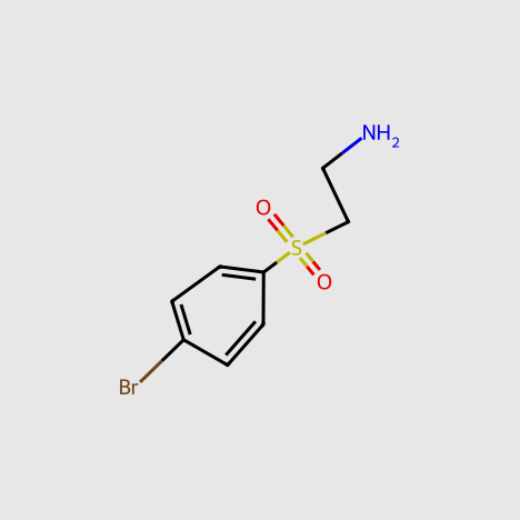 NCCS(=O)(=O)c1ccc(Br)cc1